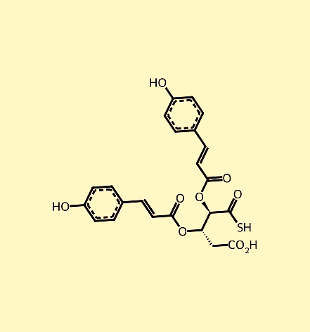 O=C(O)C[C@H](OC(=O)/C=C/c1ccc(O)cc1)[C@@H](OC(=O)/C=C/c1ccc(O)cc1)C(=O)S